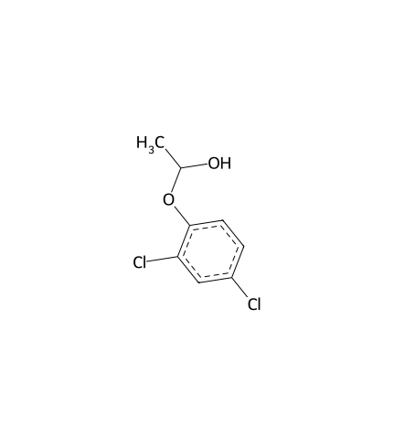 CC(O)Oc1ccc(Cl)cc1Cl